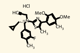 C#CCN(c1nc(-c2cc(C)c(OC)cc2OC)c(C)s1)[C@@H](CC1CC1)c1ccc(C)c(F)c1.Cl